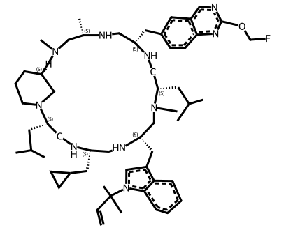 C=CC(C)(C)n1cc(C[C@H]2CN(C)[C@@H](CC(C)C)CN[C@@H](Cc3ccc4nc(OCF)ncc4c3)CN[C@@H](C)CN(C)[C@H]3CCCN(C3)[C@@H](CC(C)C)CN[C@@H](CC3CC3)CN2)c2ccccc21